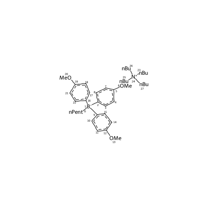 CCCCC[B-](c1ccc(OC)cc1)(c1ccc(OC)cc1)c1ccc(OC)cc1.CCCC[N+](CCCC)(CCCC)CCCC